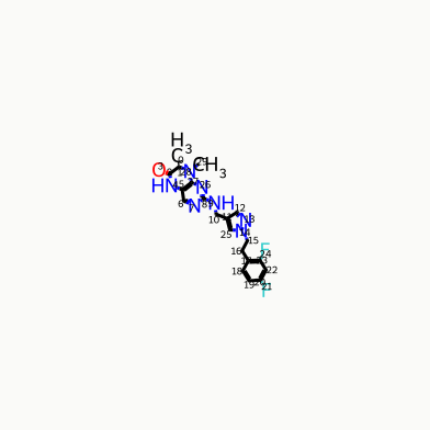 C[C@H]1C(=O)Nc2cnc(NCc3cnn(CCc4ccc(F)cc4F)c3)nc2N1C